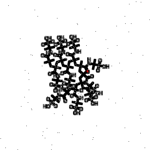 CC(C)(CC(C)(CC(C)(CC(C)(CC(C)(CC(C)(CC(C)(CC(C)(CC(C)(CC(C)(C)C(=O)NC(C)(C)S(=O)(=O)O)C(=O)NC(C)(C)S(=O)(=O)O)C(=O)NC(C)(C)S(=O)(=O)O)C(=O)NC(C)(C)S(=O)(=O)O)C(=O)NC(C)(C)S(=O)(=O)O)C(=O)NC(C)(C)S(=O)(=O)O)C(=O)NC(C)(C)S(=O)(=O)O)C(=O)NC(C)(C)S(=O)(=O)O)C(=O)NC(C)(C)S(=O)(=O)O)C(=O)NC(C)(C)S(=O)(=O)O